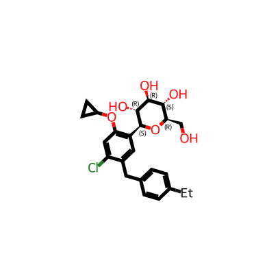 CCc1ccc(Cc2cc([C@@H]3O[C@H](CO)[C@@H](O)[C@H](O)[C@H]3O)c(OC3CC3)cc2Cl)cc1